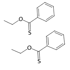 CCOC(=S)c1ccccc1.CCOC(=S)c1ccccc1